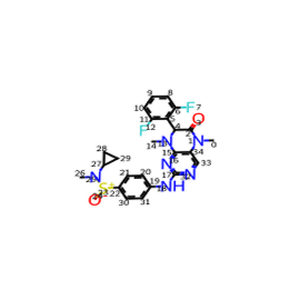 CN1C(=O)C(c2c(F)cccc2F)N(C)c2nc(Nc3ccc([S+]([O-])N(C)C4CC4)cc3)ncc21